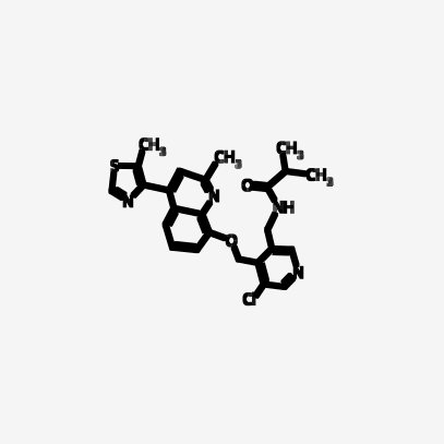 Cc1cc(-c2ncsc2C)c2cccc(OCc3c(Cl)cncc3CNC(=O)C(C)C)c2n1